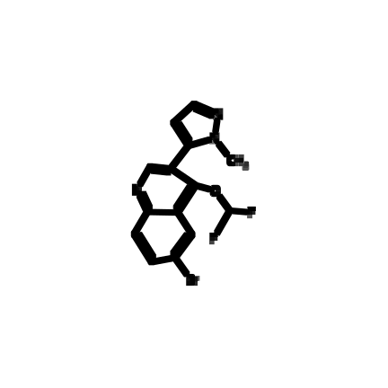 Cn1nccc1-c1cnc2ccc(Br)cc2c1OC(F)F